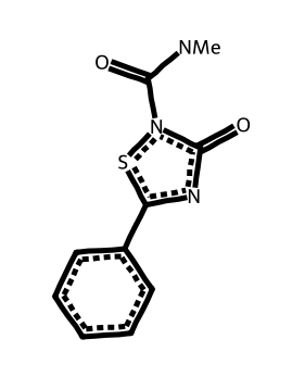 CNC(=O)n1sc(-c2ccccc2)nc1=O